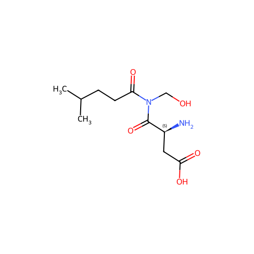 CC(C)CCC(=O)N(CO)C(=O)[C@@H](N)CC(=O)O